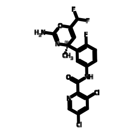 C[C@@]1(c2cc(NC(=O)c3ncc(Cl)cc3Cl)ccc2F)C=C(C(F)F)OC(N)=N1